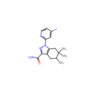 CC1Cc2c(C(N)=O)nn(-c3cc(I)ccn3)c2CC1(C)C